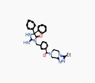 CCc1nnc2n1CCN(C(=O)c1cccc(CN3C(=N)NC(c4ccccc4)(c4ccccc4)C3=O)c1)C2